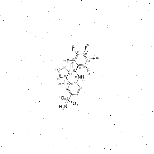 NS(=O)(=O)c1ccc2c(c1)[C@H]1C=CC[C@H]1[C@@H](c1c(F)c(F)c(F)c(F)c1F)N2